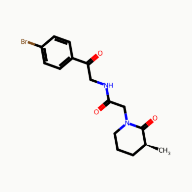 C[C@H]1CCCN(CC(=O)NCC(=O)c2ccc(Br)cc2)C1=O